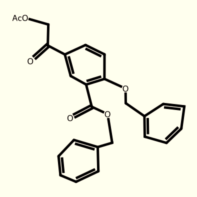 CC(=O)OCC(=O)c1ccc(OCc2ccccc2)c(C(=O)OCc2ccccc2)c1